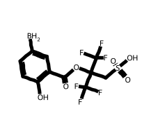 Bc1ccc(O)c(C(=O)OC(CS(=O)(=O)O)(C(F)(F)F)C(F)(F)F)c1